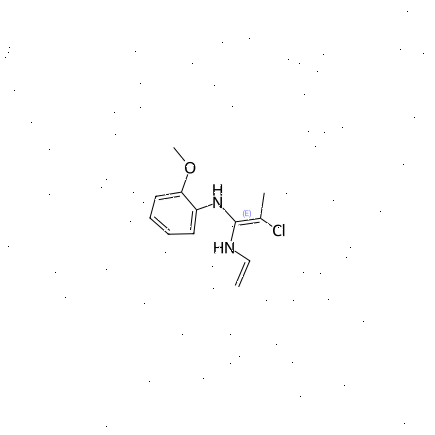 C=CN/C(Nc1ccccc1OC)=C(/C)Cl